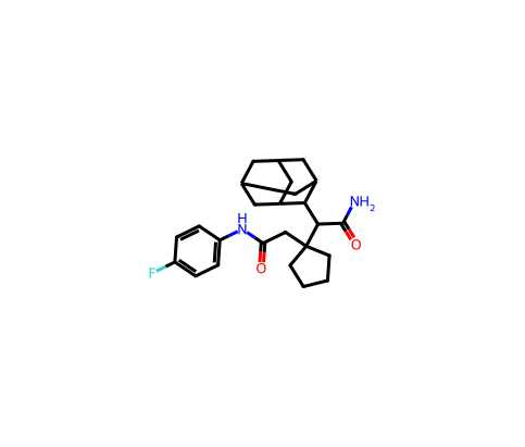 NC(=O)C(C1C2CC3CC(C2)CC1C3)C1(CC(=O)Nc2ccc(F)cc2)CCCC1